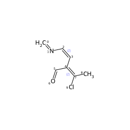 C=N/C=C\C(C=O)=C(/C)Cl